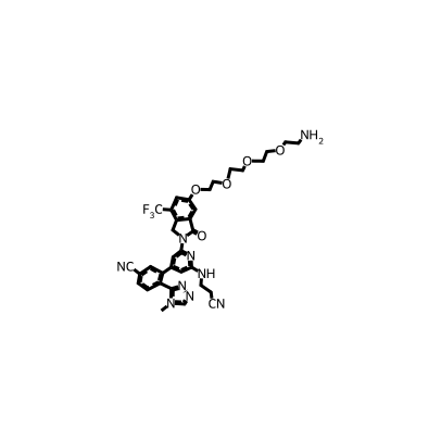 Cn1cnnc1-c1ccc(C#N)cc1-c1cc(NCCC#N)nc(N2Cc3c(cc(OCCOCCOCCOCCN)cc3C(F)(F)F)C2=O)c1